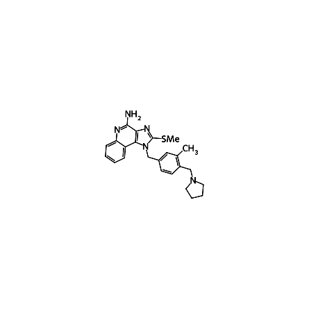 CSc1nc2c(N)nc3ccccc3c2n1Cc1ccc(CN2CCCC2)c(C)c1